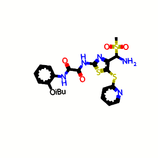 CC(C)COc1ccccc1NC(=O)C(=O)Nc1nc(C(N)S(C)(=O)=O)c(Sc2ccccn2)s1